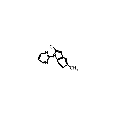 Cc1ccc2c(c1)cc(Cl)n2-c1ncccn1